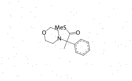 CSC(=O)C(C)(c1ccccc1)N1CCOCC1